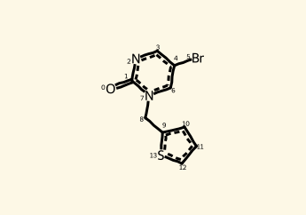 O=c1ncc(Br)cn1Cc1cccs1